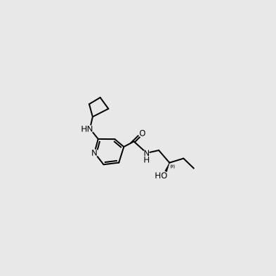 CC[C@@H](O)CNC(=O)c1ccnc(NC2CCC2)c1